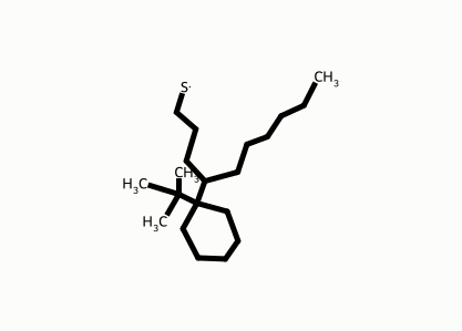 CCCCCCC(CCC[S])C1(C(C)(C)C)CCCCC1